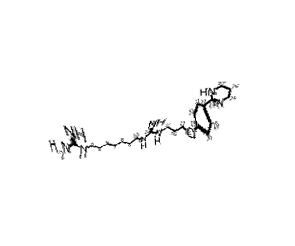 N=C(N)NCCCCCCCNC(=N)NCCCOc1ccc(C2=NCCCN2)cc1